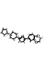 c1cc2c(cc1-c1csc(C3CCN(C4CCCC4)CC3)n1)OCCO2